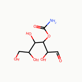 NC(=O)OC(C(O)C=O)C(O)C(O)CO